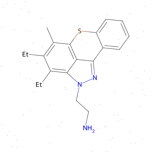 CCc1c(C)c2c3c(nn(CCN)c3c1CC)-c1ccccc1S2